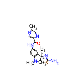 Cc1cnc(C(=O)Nc2ccc(N(C)C)c([C@]3(C)CCSC(N)=N3)c2)cn1